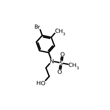 Cc1cc(N(CCO)S(C)(=O)=O)ccc1Br